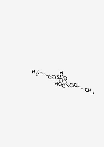 CCCCCCOc1ccc(SC2=CC(=O)c3c(O)c(Sc4ccc(OCCCCCC)cc4)cc(O)c3C2=O)cc1